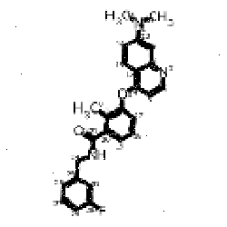 Cc1c(Oc2ccnc3cc(N(C)C)ccc23)cccc1C(=O)NCc1cccc(F)c1